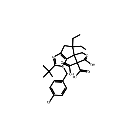 CCC1(CC)Cc2nc(C(C)(C)C)n(Cc3ccc(Cl)cc3)c2C1(CC)C(C(=O)O)(C(=O)O)C(=O)O